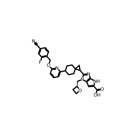 N#Cc1ccc(COc2cccc(C3CCC4(CC3)CC4c3nc4[nH]c(C(=O)O)cc4n3C[C@@H]3CCO3)n2)c(F)c1